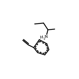 C=Cc1ccccc1.CCC(C)N